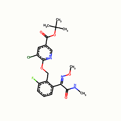 CNC(=O)C(=NOC)c1cccc(F)c1COc1ncc(C(=O)OC(C)(C)C)cc1Cl